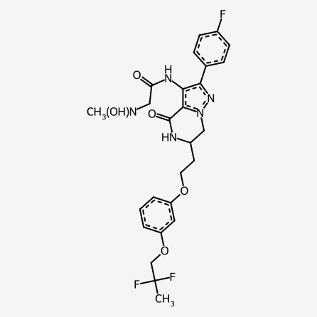 CN(O)CC(=O)Nc1c(-c2ccc(F)cc2)nn2c1C(=O)NC(CCOc1cccc(OCC(C)(F)F)c1)C2